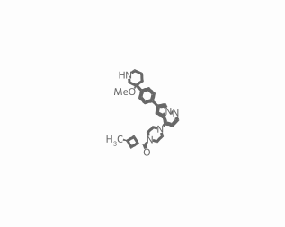 CO[C@@]1(c2ccc(-c3cc4c(N5CCN(C(=O)[C@H]6C[C@H](C)C6)CC5)ccnn4c3)cc2)CCCNC1